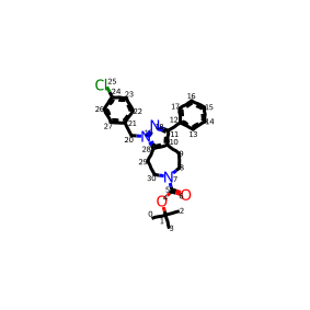 CC(C)(C)OC(=O)N1CCc2c(-c3ccccc3)nn(Cc3ccc(Cl)cc3)c2CC1